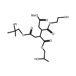 CCCC(C)(C)COC(=O)CC(C(=O)OCC(C)O)C(CC(=O)OC)C(=O)OCCO